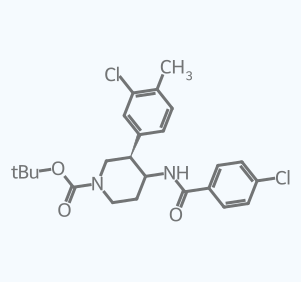 Cc1ccc([C@@H]2CN(C(=O)OC(C)(C)C)CCC2NC(=O)c2ccc(Cl)cc2)cc1Cl